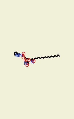 CCCCCCCCCCCCCCCCc1cc(OCC(COC(=O)NCc2ccccn2)Oc2ccon2)no1